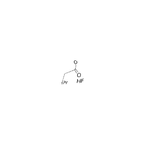 CCCCC([O])=O.F